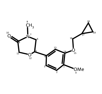 COc1ccc(C2CN(C)C(=O)CO2)cc1OCC1CC1